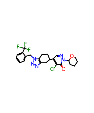 O=c1c(Cl)c(C2CCc3c(nnn3Cc3ccccc3C(F)(F)F)C2)cnn1C1CCCCO1